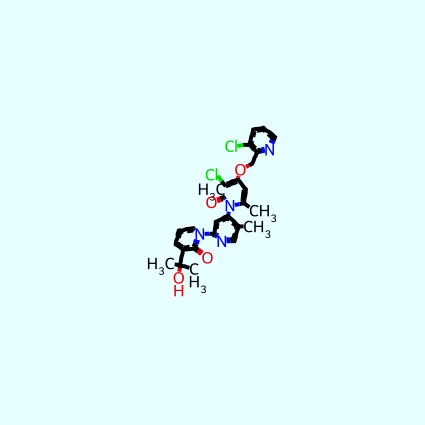 C/C(=C/C(OCc1ncccc1Cl)=C(\C)Cl)N(C=O)c1cc(-n2cccc(C(C)(C)O)c2=O)ncc1C